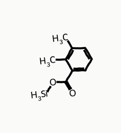 Cc1cccc(C(=O)O[SiH3])c1C